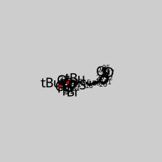 CC(C)(C)OP(=O)(OC(C)(C)C)C(F)(F)c1ccc(CSCCC#Cc2cccc(S(C)(=O)=O)c2)cc1Br